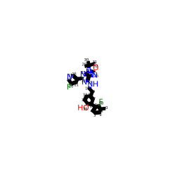 Cc1cccc(-c2cc(CCNc3nc(-c4cncc(F)c4)nc4c3nc3n4C(C)(C)CO3)ccc2O)c1F